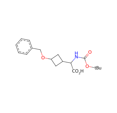 CC(C)(C)OC(=O)NC(C(=O)O)C1CC(OCc2ccccc2)C1